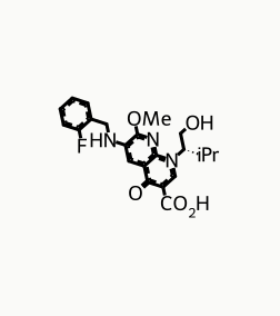 COc1nc2c(cc1NCc1ccccc1F)c(=O)c(C(=O)O)cn2[C@H](CO)C(C)C